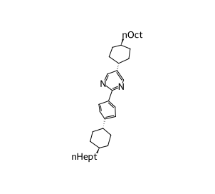 CCCCCCCC[C@H]1CC[C@H](c2cnc(-c3ccc([C@H]4CC[C@H](CCCCCCC)CC4)cc3)nc2)CC1